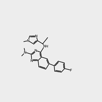 CC(Nc1nc(N(C)C)nc2ccc(-c3ccc(F)cc3)cc12)c1cn(C)cn1